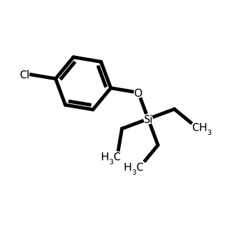 CC[Si](CC)(CC)Oc1ccc(Cl)cc1